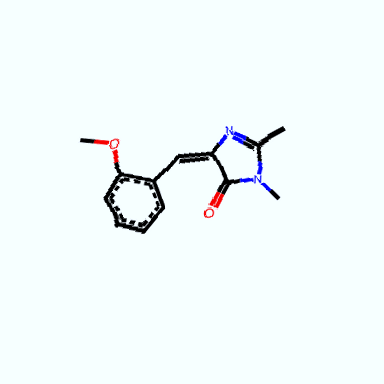 COc1ccccc1/C=C1/N=C(C)N(C)C1=O